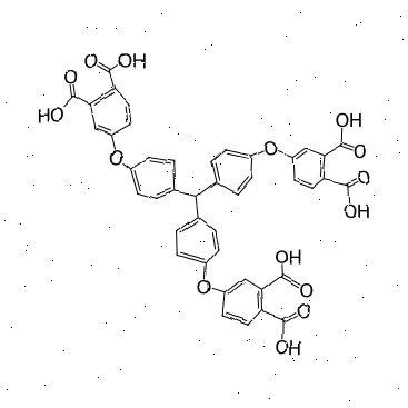 O=C(O)c1ccc(Oc2ccc(C(c3ccc(Oc4ccc(C(=O)O)c(C(=O)O)c4)cc3)c3ccc(Oc4ccc(C(=O)O)c(C(=O)O)c4)cc3)cc2)cc1C(=O)O